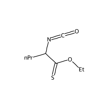 CCCC(N=C=O)C(=S)OCC